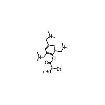 CCCCC(CC)C(=O)Oc1c(CN(C)C)cc(CN(C)C)cc1CN(C)C